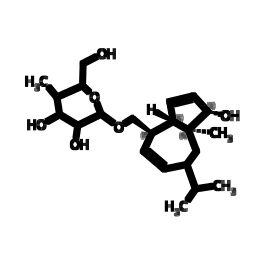 CC(C)C1C=C[C@@H](COC2OC(CO)C(C)C(O)C2O)[C@@H]2C=C[C@H](O)[C@@]2(C)C1